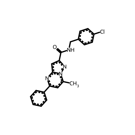 Cc1cc(-c2ccccc2)nc2cc(C(=O)NCc3ccc(Cl)cc3)nn12